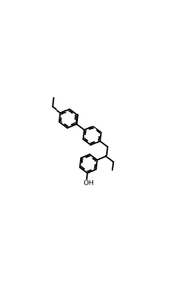 CCc1ccc(-c2ccc(CC(CC)c3cccc(O)c3)cc2)cc1